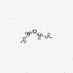 C=CC(=O)OCCONC(C)(C)c1cccc(C(C)(C)NOCCOC(=O)C=C)c1